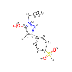 Cc1c(-c2ccc(S(C)(=O)=O)cc2)nn(CC(=O)O)c1O